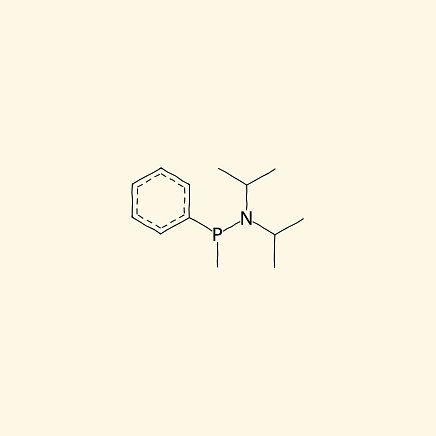 CC(C)N(C(C)C)P(C)c1ccccc1